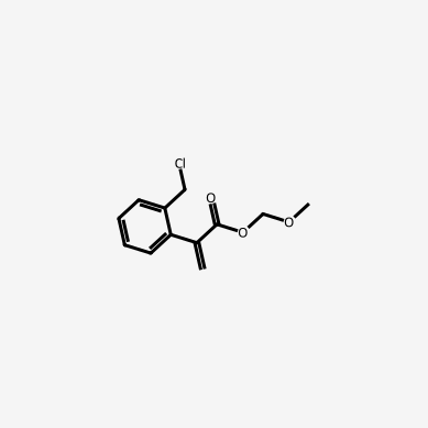 C=C(C(=O)OCOC)c1ccccc1CCl